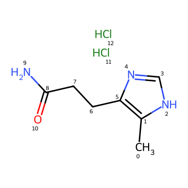 Cc1[nH]cnc1CCC(N)=O.Cl.Cl